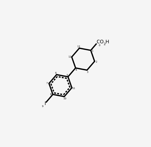 O=C(O)C1CCC(c2ccc(I)cc2)CC1